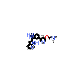 CN(C)CCOc1cncc(-c2ccc3[nH]nc(-c4cc5cccnc5[nH]4)c3c2)c1